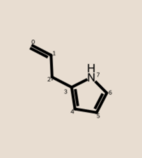 C=C[CH]c1ccc[nH]1